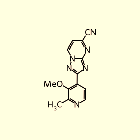 COc1c(-c2nc3nc(C#N)ccn3n2)ccnc1C